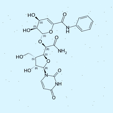 NC(=O)[C@H](O[C@H]1OC(C(=O)Nc2ccccc2)=C[C@H](O)[C@@H]1O)[C@H]1O[C@@H](n2ccc(=O)[nH]c2=O)[C@H](O)[C@@H]1CO